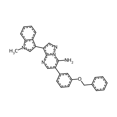 Cn1cc(-c2cnn3c(N)c(-c4cccc(OCc5ccccc5)c4)cnc23)c2ccccc21